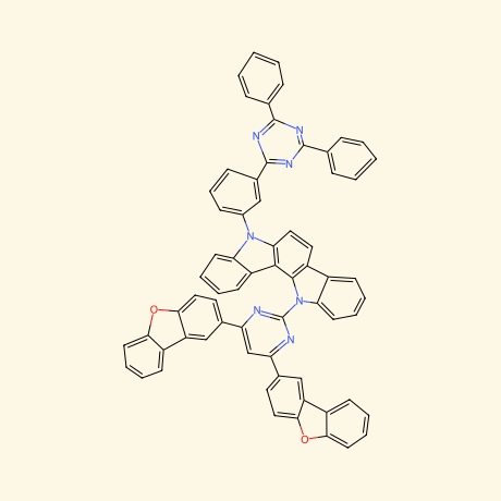 c1ccc(-c2nc(-c3ccccc3)nc(-c3cccc(-n4c5ccccc5c5c4ccc4c6ccccc6n(-c6nc(-c7ccc8oc9ccccc9c8c7)cc(-c7ccc8oc9ccccc9c8c7)n6)c45)c3)n2)cc1